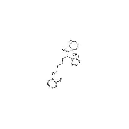 CC1(C(=O)C(CCCCOc2ccccc2F)n2cncn2)COCOC1